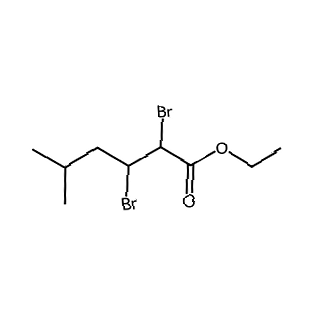 CCOC(=O)C(Br)C(Br)CC(C)C